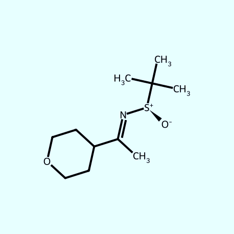 CC(=N[S@+]([O-])C(C)(C)C)C1CCOCC1